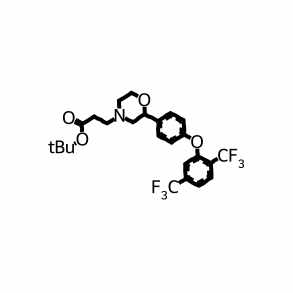 CC(C)(C)OC(=O)CCN1CCOC(c2ccc(Oc3cc(C(F)(F)F)ccc3C(F)(F)F)cc2)C1